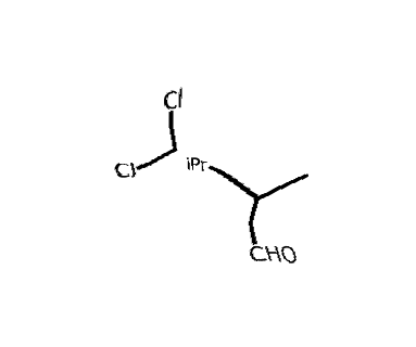 CC(C)C(C)C=O.ClCCl